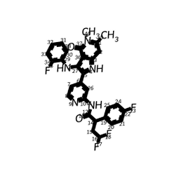 Cc1cc2[nH]c(-c3ccnc(NC(=O)C(CC(F)F)c4ccc(F)cc4)c3)c(Nc3ccccc3F)c2c(=O)n1C